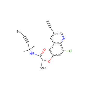 C#Cc1cnc2c(Cl)cc(OC(SC)C(=O)NC(C)(C)C#CCC)cc2c1